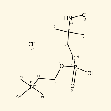 CC(C)(CCP(=O)(O)OCC[N+](C)(C)C)NCl.[Cl-]